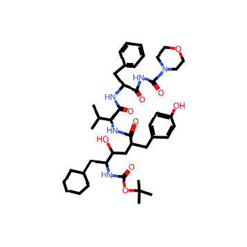 CC(C)C(NC(=O)C(Cc1ccc(O)cc1)CC(O)C(CC1CCCCC1)NC(=O)OC(C)(C)C)C(=O)NC(Cc1ccccc1)C(=O)NC(=O)N1CCOCC1